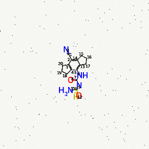 N#Cc1c2c(c(NC(=O)/N=[SH](\N)=O)c3c1CCC3)CCC2